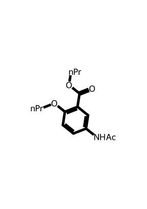 CCCOC(=O)c1cc(NC(C)=O)ccc1OCCC